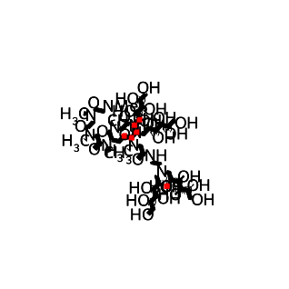 CNCC(=O)N(C)CC(=O)N(C)CC(=O)N(C)C(CCCN(C[C@H](O)[C@@H](O)[C@H](O)[C@H](O)CO)C[C@H](O)[C@@H](O)[C@H](O)[C@H](O)CO)C(=O)N(C)CC(=O)N(C)CC(=O)N(C)CC(=O)NCCN(C[C@H](O)[C@@H](O)[C@H](O)[C@H](O)CO)C[C@H](O)[C@@H](O)[C@H](O)[C@H](O)CO